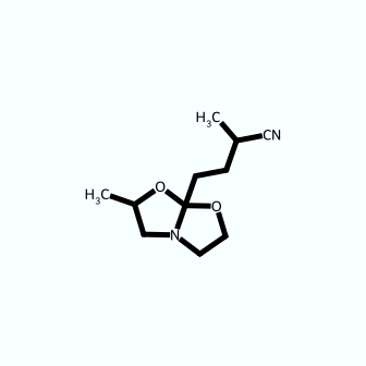 CC(C#N)CCC12OCCN1CC(C)O2